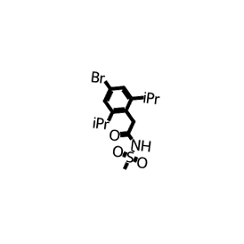 CC(C)c1cc(Br)cc(C(C)C)c1CC(=O)NS(C)(=O)=O